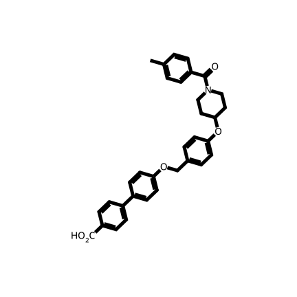 Cc1ccc(C(=O)N2CCC(Oc3ccc(COc4ccc(-c5ccc(C(=O)O)cc5)cc4)cc3)CC2)cc1